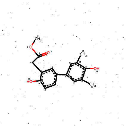 COC(=O)Cc1cc(-c2cc(C)c(O)c(C)c2)ccc1O